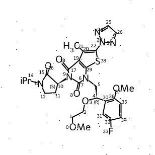 COCCO[C@@H](Cn1c(=O)n([C@H]2CCN(C(C)C)C2=O)c(=O)c2c(C)c(-n3nccn3)sc21)c1cc(F)ccc1OC